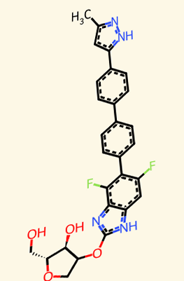 Cc1cc(-c2ccc(-c3ccc(-c4c(F)cc5[nH]c(OC6CO[C@H](CO)[C@H]6O)nc5c4F)cc3)cc2)[nH]n1